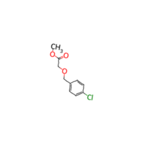 COC(=O)COCc1ccc(Cl)cc1